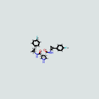 O=C(N[C@H]1CC1c1ccc(F)cc1)[C@@H]1CNC[C@H]1C(=O)N[C@H]1C[C@@H]1c1ccc(F)cc1